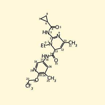 CCN1C(NC(=O)C2CC2)=NC(C)=CC1C(=O)Nc1cnc(OCC(F)(F)F)c(C)c1